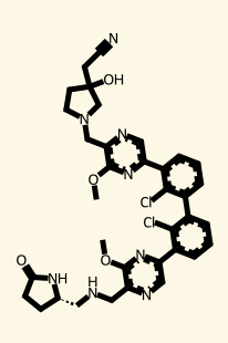 COc1nc(-c2cccc(-c3cccc(-c4cnc(CN5CCC(O)(CC#N)C5)c(OC)n4)c3Cl)c2Cl)cnc1CNC[C@@H]1CCC(=O)N1